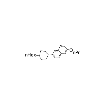 CCCCCC[C@H]1CC[C@H](c2ccc3cc(OCCC)ccc3c2)CC1